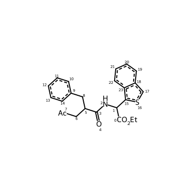 CCOC(=O)C(NC(=O)C(CC(C)=O)Cc1ccccc1)c1scc2ccccc12